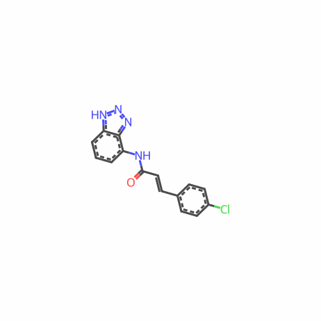 O=C(C=Cc1ccc(Cl)cc1)Nc1cccc2[nH]nnc12